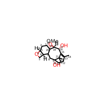 CO[C@H]1C[C@H]2OC[C@H]2C2C[C@]3(O)CCC(C)=C([C@@H](O)[C@H]4O[C@]214)C3(C)C